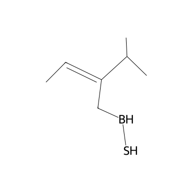 C/C=C(\CBS)C(C)C